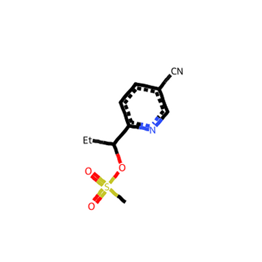 CCC(OS(C)(=O)=O)c1ccc(C#N)cn1